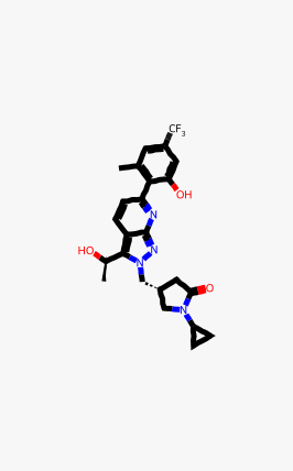 Cc1cc(C(F)(F)F)cc(O)c1-c1ccc2c([C@@H](C)O)n(C[C@@H]3CC(=O)N(C4CC4)C3)nc2n1